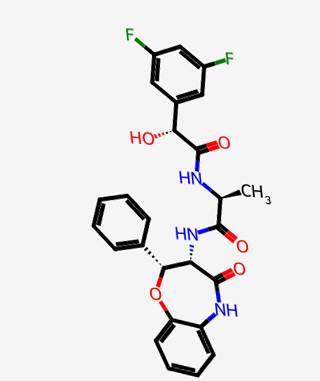 C[C@H](NC(=O)[C@H](O)c1cc(F)cc(F)c1)C(=O)N[C@@H]1C(=O)Nc2ccccc2O[C@@H]1c1ccccc1